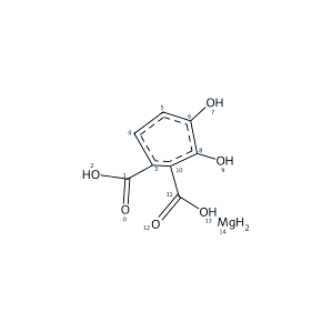 O=C(O)c1ccc(O)c(O)c1C(=O)O.[MgH2]